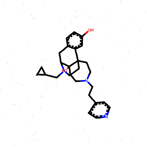 Oc1ccc2c(c1)C13CCN(CCc4ccncc4)CCC1(O)C(C2)N(CC1CC1)CC3